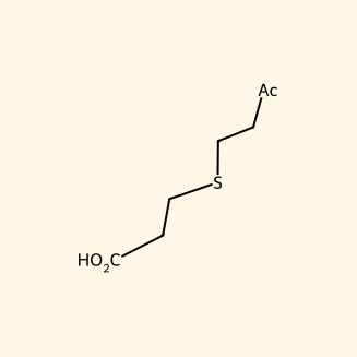 CC(=O)CCSCCC(=O)O